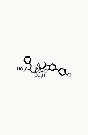 Cc1c(C(=O)N[C@@](CC(Cc2ccccc2)C(=O)O)(C(=O)O)C(C)(C)C)oc2cc(-c3ccc(Cl)cc3)ccc12